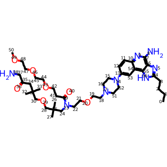 CCCCc1nc2c(N)nc3ccc(N4CCN(CCOCCN(CC(C)(C)COCC(C)(C)CC(=O)CN)C(=O)CCOCCOCCOC)CC4)cc3c2[nH]1